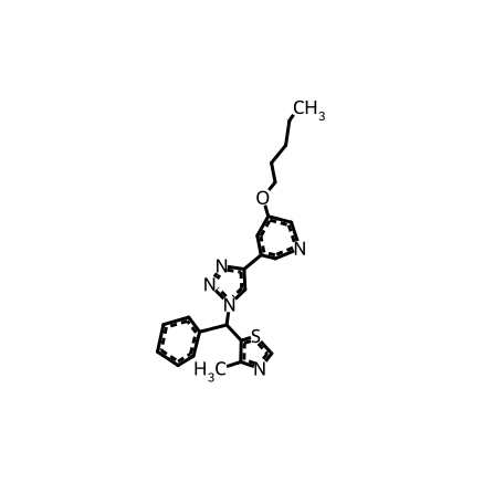 CCCCCOc1cncc(-c2cn(C(c3ccccc3)c3scnc3C)nn2)c1